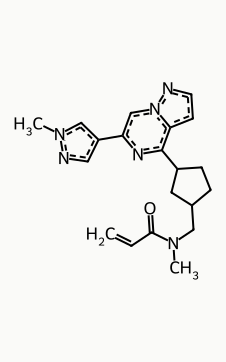 C=CC(=O)N(C)CC1CCC(c2nc(-c3cnn(C)c3)cn3nccc23)C1